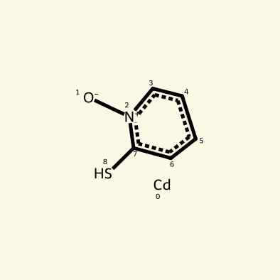 [Cd].[O-][n+]1ccccc1S